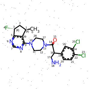 C[C@@H]1C[C@@H](F)c2ncnc(N3CCN(C(=O)C(CN)c4ccc(Cl)c(Cl)c4)CC3)c21